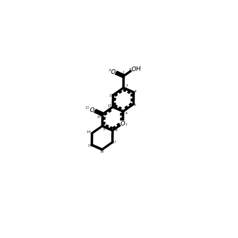 O=C(O)c1ccc2oc3c(c(=O)c2c1)CCCC3